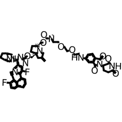 C#Cc1c(F)ccc2cccc(-c3ncc4c(N5CC6CCC(C5)N6)nc(OC[C@@]56CC[C@@H](COC(=O)N(C)CCOCCOCCNc7ccc8c(c7)C(=O)N(C7CCC(=O)NC7=O)C8=O)N5CC(=C)C6)nc4c3F)c12